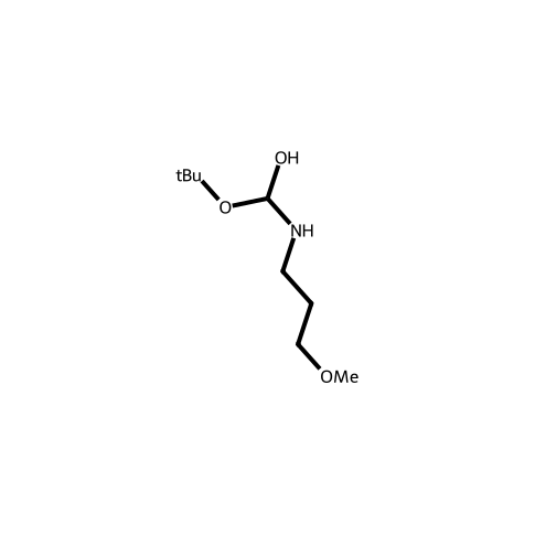 COCCCNC(O)OC(C)(C)C